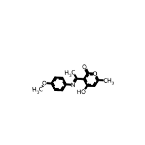 COc1ccc(N=C(C)c2c(O)cc(C)oc2=O)cc1